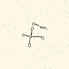 [AlH2][Cl].[Cl][Sn]([Cl])([Cl])[Cl]